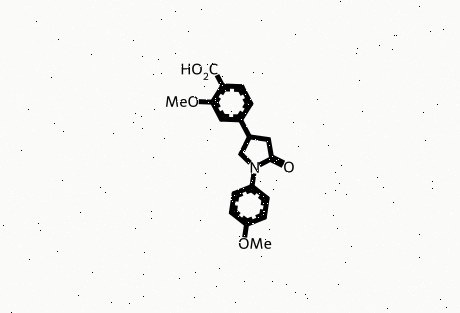 COc1ccc(N2CC(c3ccc(C(=O)O)c(OC)c3)CC2=O)cc1